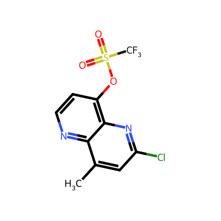 Cc1cc(Cl)nc2c(OS(=O)(=O)C(F)(F)F)ccnc12